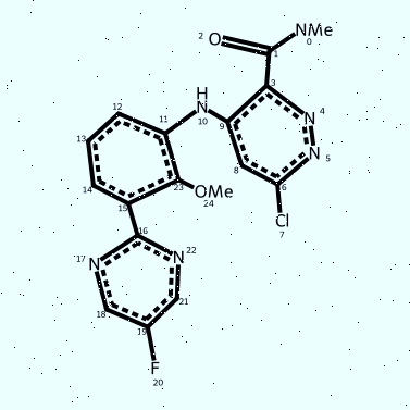 CNC(=O)c1nnc(Cl)cc1Nc1cccc(-c2ncc(F)cn2)c1OC